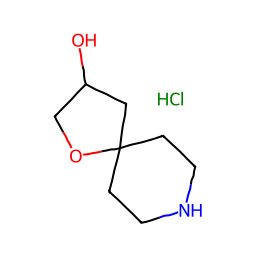 Cl.OC1COC2(CCNCC2)C1